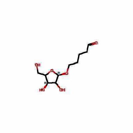 O=CCCCCO[C@@H]1OC(CO)[C@H](O)C1O